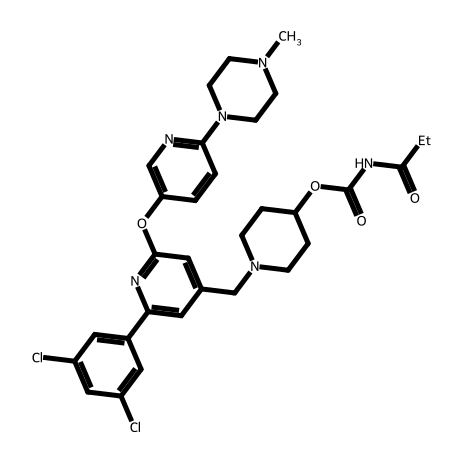 CCC(=O)NC(=O)OC1CCN(Cc2cc(Oc3ccc(N4CCN(C)CC4)nc3)nc(-c3cc(Cl)cc(Cl)c3)c2)CC1